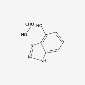 O=CO.Oc1cccc2[nH]nnc12